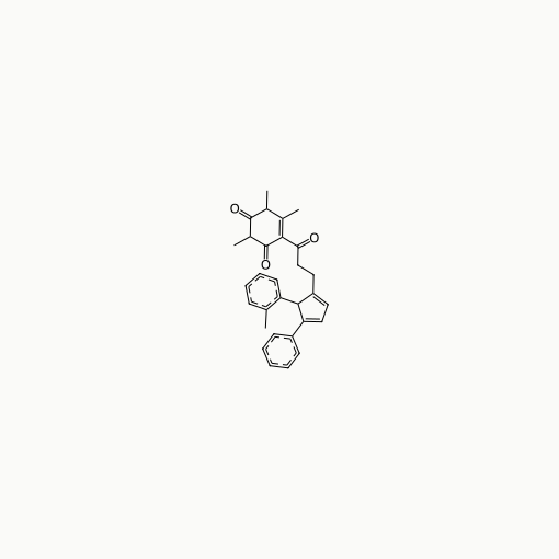 CC1=C(C(=O)CCC2=CC=C(c3ccccc3)C2c2ccccc2C)C(=O)C(C)C(=O)C1C